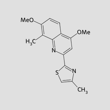 COc1ccc2c(OC)cc(-c3nc(C)cs3)nc2c1C